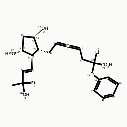 CCC(C)([16OH])C=C[C@@H]1[C@@H](CC=C=CCC(Cl)(Oc2ccccc2)C(=O)O)[C@@H]([16OH])C[C@H]1[16OH]